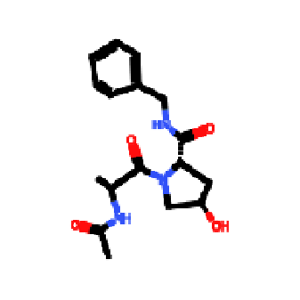 CC(=O)NC(C)C(=O)N1C[C@H](O)C[C@H]1C(=O)NCc1ccccc1